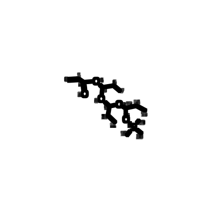 C=CC(=O)OC(CC)OC(CC)OC(CC)O[Si](C)(C)C